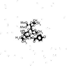 COC(OC)[C@@H]1OC(C)(C)O[C@H]1[C@H](O[C@@H]1O[C@H](COC(=O)c2ccc(Cl)cc2)[C@@H]2OC(C)(C)O[C@@H]2[C@H]1O)[C@H]1COC(C)(C)O1